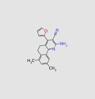 Cc1cc(C)c2c(c1)-c1nc(N)c(C#N)c(-c3ccco3)c1CC2